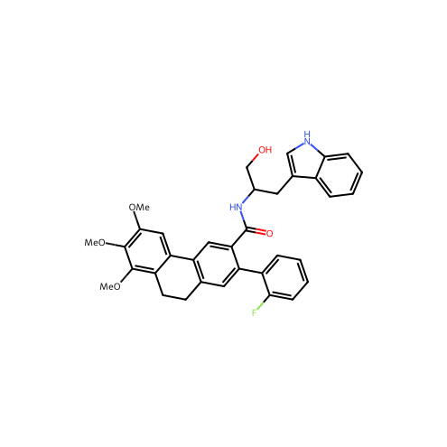 COc1cc2c(c(OC)c1OC)CCc1cc(-c3ccccc3F)c(C(=O)NC(CO)Cc3c[nH]c4ccccc34)cc1-2